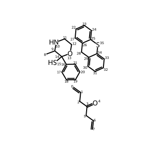 C=CCC(=O)CC=C.CC1NCCOC1(S)c1ccccc1.c1ccc2c(c1)Cc1ccccc1S2